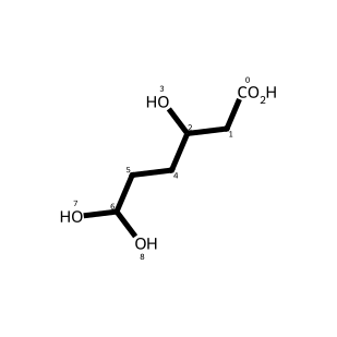 O=C(O)CC(O)CCC(O)O